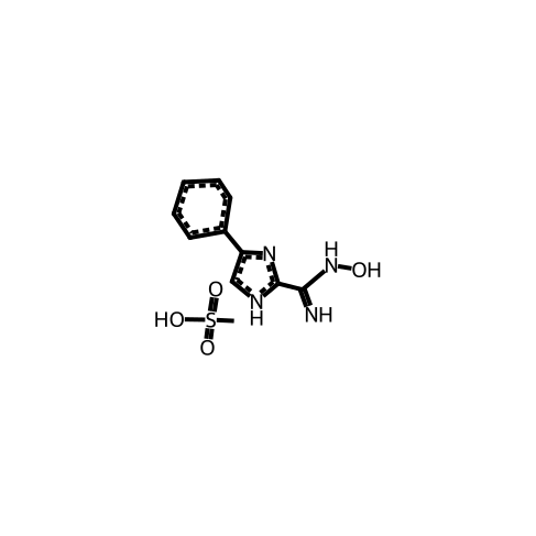 CS(=O)(=O)O.N=C(NO)c1nc(-c2ccccc2)c[nH]1